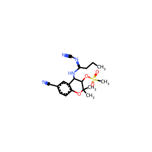 CCC/C(=N/C#N)NC1c2cc(C#N)ccc2OC(C)(C)C1OS(C)(=O)=O